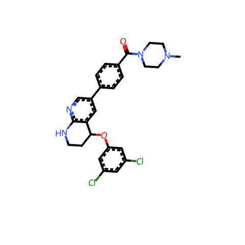 CN1CCN(C(=O)c2ccc(-c3cnc4c(c3)C(Oc3cc(Cl)cc(Cl)c3)CCN4)cc2)CC1